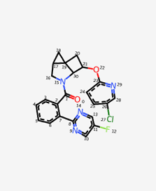 O=C(c1ccccc1-c1ncc(F)cn1)N1CC2CC23CC(Oc2ccc(Cl)cn2)C13